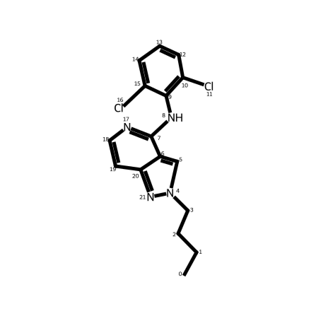 CCCCn1cc2c(Nc3c(Cl)cccc3Cl)nccc2n1